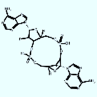 Nc1ncnc2c1ncn2[C@@H]1O[C@@H]2COP(=O)(S)OC3C(O)[C@@H](COP(=O)(S)OC2C1F)O[C@H]3n1cnc2c(N)ncnc21